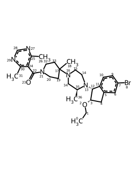 CCO[C@H]1Cc2cc(Br)ccc2[C@H]1N1CCN(C2(C)CCN(C(=O)c3c(C)ncnc3C)CC2)C[C@@H]1C